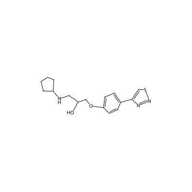 OC(CNC1CCCC1)COc1ccc(-c2csnn2)cc1